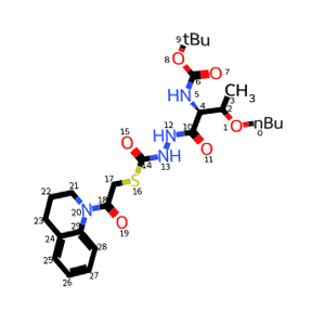 CCCCOC(C)[C@H](NC(=O)OC(C)(C)C)C(=O)NNC(=O)SCC(=O)N1CCCc2ccccc21